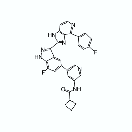 O=C(Nc1cncc(-c2cc(F)c3[nH]nc(-c4nc5c(-c6ccc(F)cc6)nccc5[nH]4)c3c2)c1)C1CCC1